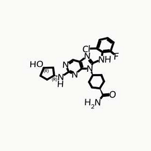 NC(=O)[C@H]1CC[C@@H](n2c(Nc3c(F)cccc3Cl)nc3cnc(N[C@@H]4CC[C@@H](O)C4)nc32)CC1